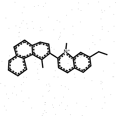 CCc1ccc2ccc(-c3ccc4ccc5ccccc5c4c3C)[n+](C)c2c1